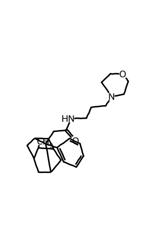 CC1C2CC3CC1CC(C2)C3(CC(=O)NCCCN1CCOCC1)c1ccccc1